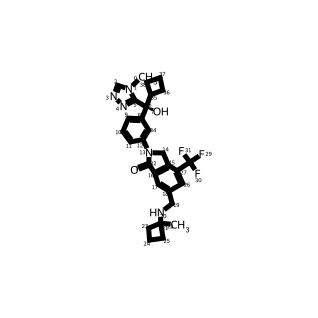 Cn1cnnc1[C@@](O)(c1cccc(N2Cc3c(cc(CNC4(C)CCC4)cc3C(F)(F)F)C2=O)c1)C1CCC1